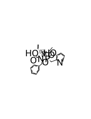 C=C[C@@H]1C[C@@]1(N(Cc1ccccc1)C(=O)O)P(=O)(Cc1ncccc1O)OCC